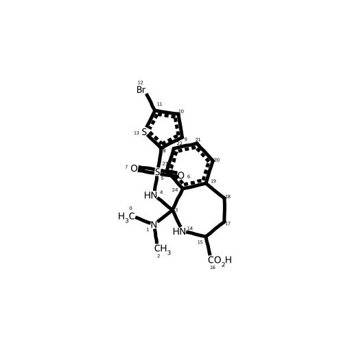 CN(C)C1(NS(=O)(=O)c2ccc(Br)s2)NC(C(=O)O)CCc2ccccc21